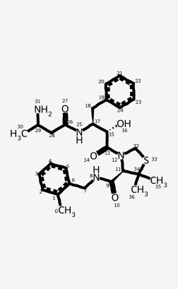 Cc1ccccc1CNC(=O)[C@H]1N(C(=O)[C@@H](O)[C@H](Cc2ccccc2)NC(=O)CC(C)N)CSC1(C)C